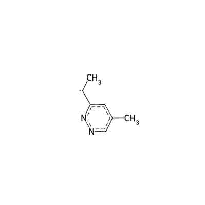 C[CH]c1cc(C)cnn1